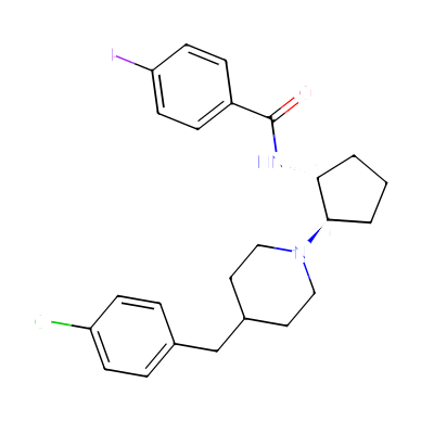 O=C(N[C@@H]1CCC[C@H]1N1CCC(Cc2ccc(Cl)cc2)CC1)c1ccc(I)cc1